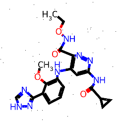 CCONC(=O)c1nnc(NC(=O)C2CC2)cc1Nc1cccc(-c2nc[nH]n2)c1OC